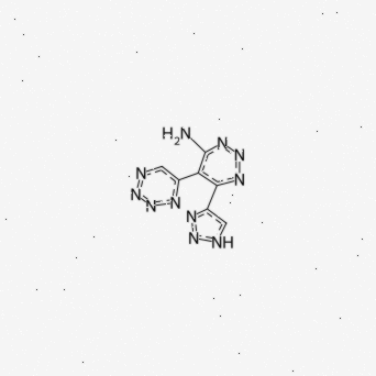 Nc1nnnc(-c2c[nH]nn2)c1-c1cnnnn1